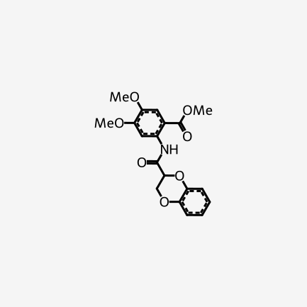 COC(=O)c1cc(OC)c(OC)cc1NC(=O)C1COc2ccccc2O1